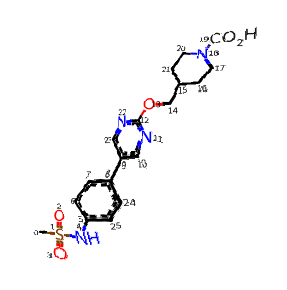 CS(=O)(=O)Nc1ccc(-c2cnc(OCC3CCN(C(=O)O)CC3)nc2)cc1